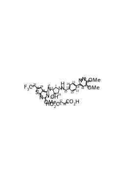 COc1nc(N(C)[C@H]2C[C@@H](NCc3ccc(-c4cc(OC)c(OC)nn4)cc3)C[C@H]2O)c2cc(CC(F)(F)F)sc2n1.O=C(O)CCC(=O)O